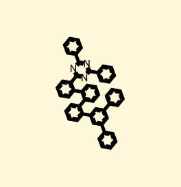 c1ccc(-c2cc(-c3ccccc3)cc(-c3ccccc3-c3ccccc3-c3ccccc3-c3nc(-c4ccccc4)nc(-c4ccccc4)n3)c2)cc1